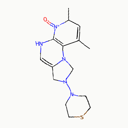 CC1=CC(C)[N+](=O)C2=C1N1CN(N3CCSCC3)CC1=CN2